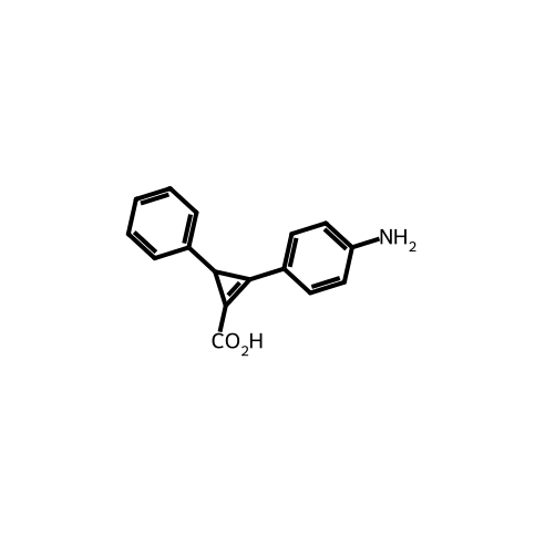 Nc1ccc(C2=C(C(=O)O)C2c2ccccc2)cc1